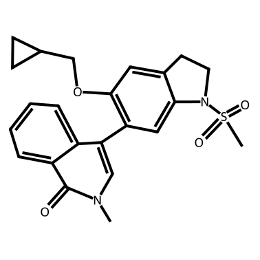 Cn1cc(-c2cc3c(cc2OCC2CC2)CCN3S(C)(=O)=O)c2ccccc2c1=O